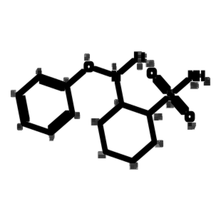 CCN(Oc1ccccc1)C1CCCCC1S(N)(=O)=O